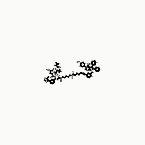 Cc1ncsc1-c1cccc([C@H](CC(=O)NCCCCCNC(=O)CCCCC#Cc2cccc(Cn3c(-c4ccccc4)c(-c4ccccc4)c4c(=N)n(C5CCC(O)CC5)cnc43)c2)NC(=O)[C@@H]2C[C@@H](O)CN2C(=O)C(NC(=O)C2(F)CC2)C(C)(C)C)c1